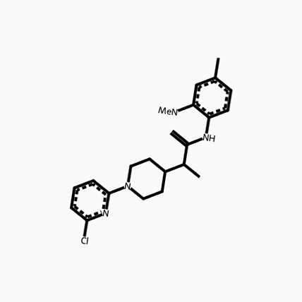 C=C(Nc1ccc(C)cc1NC)C(C)C1CCN(c2cccc(Cl)n2)CC1